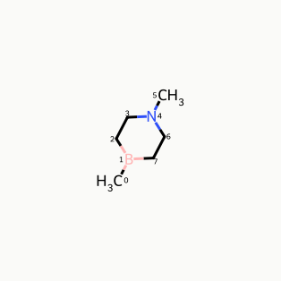 CB1CCN(C)CC1